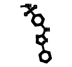 CNS(=O)(=O)c1ccc(Nc2nc(-c3ccccc3)cs2)cc1